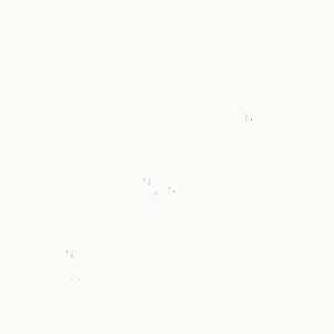 CCC(CO)N(CC)c1ccc(/N=N/c2ccc([N+](=O)[O-])cc2)cc1